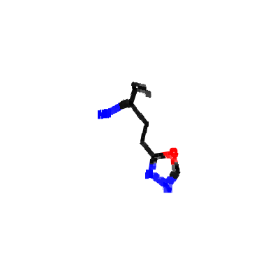 CC(=N)CCc1nnco1